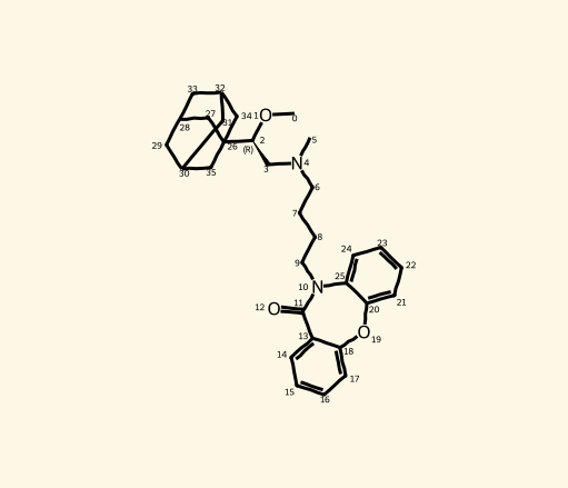 CO[C@@H](CN(C)CCCCN1C(=O)c2ccccc2Oc2ccccc21)C12CC3CC(CC(C3)C1)C2